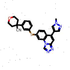 Cn1cc(-c2cc3nncn3c3cc(Sc4cccc(C5(C#N)CCOCC5)c4)ccc23)cn1